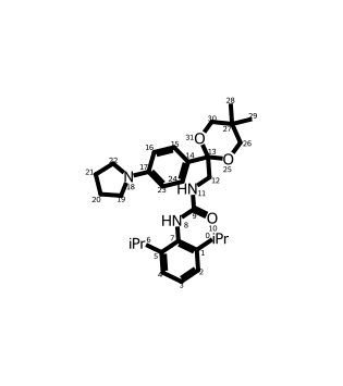 CC(C)c1cccc(C(C)C)c1NC(=O)NCC1(c2ccc(N3CCCC3)cc2)OCC(C)(C)CO1